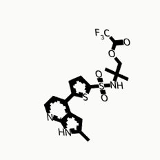 Cc1cc2c(-c3ccc(S(=O)(=O)NC(C)(C)COC(=O)C(F)(F)F)s3)ccnc2[nH]1